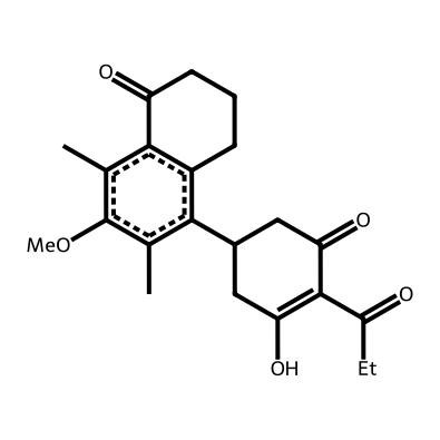 CCC(=O)C1=C(O)CC(c2c(C)c(OC)c(C)c3c2CCCC3=O)CC1=O